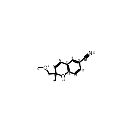 COCC1(C)C=Cc2cc(C#N)ccc2O1